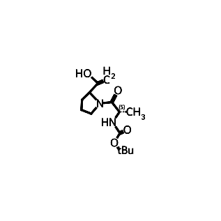 C=C(O)C1CCCN1C(=O)[C@H](C)NC(=O)OC(C)(C)C